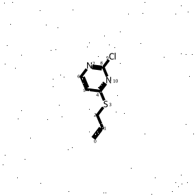 C=CCSc1ccnc(Cl)n1